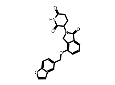 O=C1CCC(N2Cc3c(OCc4ccc5occc5c4)cccc3C2=O)C(=O)N1